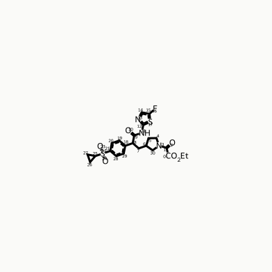 CCOC(=O)C(=O)N1CCC(CC(C(=O)Nc2ncc(F)s2)c2ccc(S(=O)(=O)C3CC3)cc2)C1